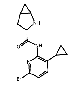 O=C(Nc1nc(Br)ccc1C1CC1)[C@@H]1CC2CC2N1